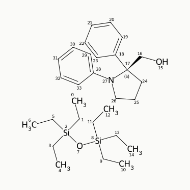 CC[Si](CC)(CC)O[Si](CC)(CC)CC.OC[C@@]1(c2ccccc2)CCCN1c1ccccc1